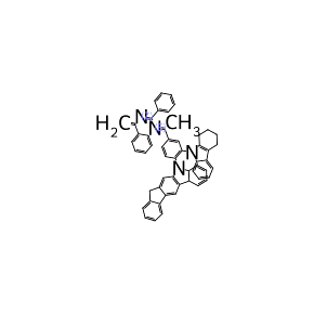 C=C(/N=C(\N=C(/C)c1ccc(N2c3cc4c(cc3C3C=CC=CC32)-c2ccccc2C4)c(-n2c3c(c4ccccc42)CCCC3)c1)c1ccccc1)c1ccccc1